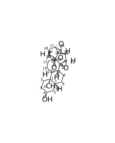 C[C@]12CC[C@H](O)C[C@H]1CC[C@@H]1[C@@H]2CC[C@]2(C)[C@@H]([C@@]34C=CC(=O)O[C@@H]3O4)C[C@H]3O[C@]132